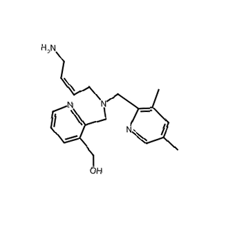 Cc1cnc(CN(C/C=C\CN)Cc2ncccc2CO)c(C)c1